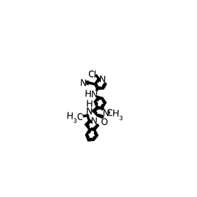 CC(Nc1cc(=O)n(C)c2ccc(Nc3ccnc(Cl)c3C#N)cc12)c1cc2ccccc2cn1